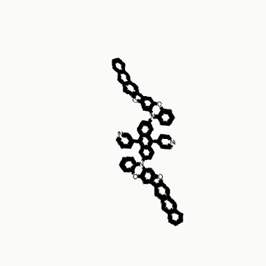 c1cncc(-c2c3ccc(N4c5ccccc5Oc5cc6c(cc54)oc4cc5cc7ccccc7cc5cc46)cc3c(-c3ccncc3)c3ccc(N4c5ccccc5Oc5cc6c(cc54)oc4cc5cc7ccccc7cc5cc46)cc23)c1